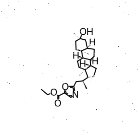 CCOC(=O)c1cnc(C[C@H](C)[C@H]2CC[C@H]3[C@@H]4CC[C@@H]5C[C@](C)(O)CC[C@]5(C)[C@H]4CC[C@]23C)o1